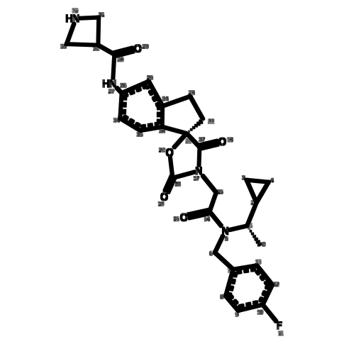 C[C@@H](C1CC1)N(Cc1ccc(F)cc1)C(=O)CN1C(=O)O[C@]2(CCc3cc(NC(=O)C4CNC4)ccc32)C1=O